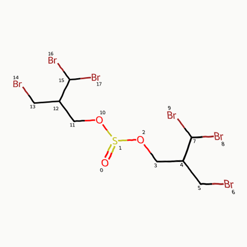 O=S(OCC(CBr)C(Br)Br)OCC(CBr)C(Br)Br